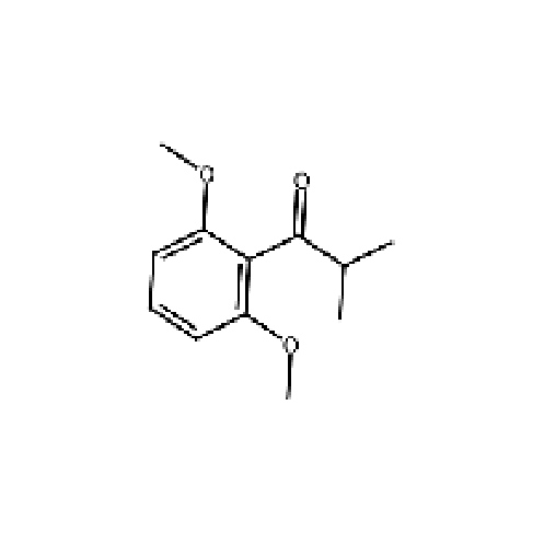 COc1cccc(OC)c1C(=O)C(C)C